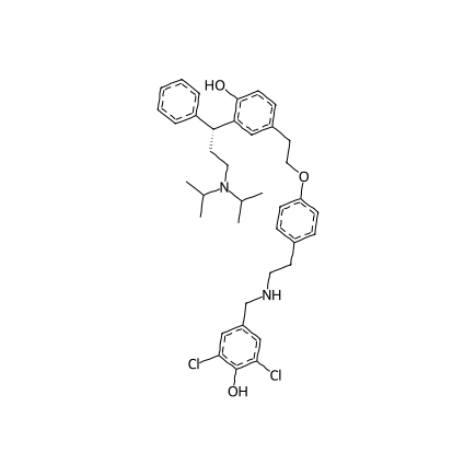 CC(C)N(CC[C@H](c1ccccc1)c1cc(CCOc2ccc(CCNCc3cc(Cl)c(O)c(Cl)c3)cc2)ccc1O)C(C)C